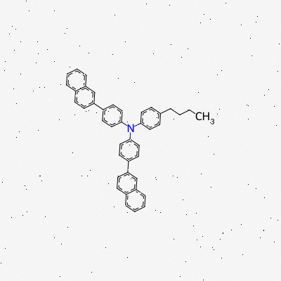 CCCCc1ccc(N(c2ccc(-c3ccc4ccccc4c3)cc2)c2ccc(-c3ccc4ccccc4c3)cc2)cc1